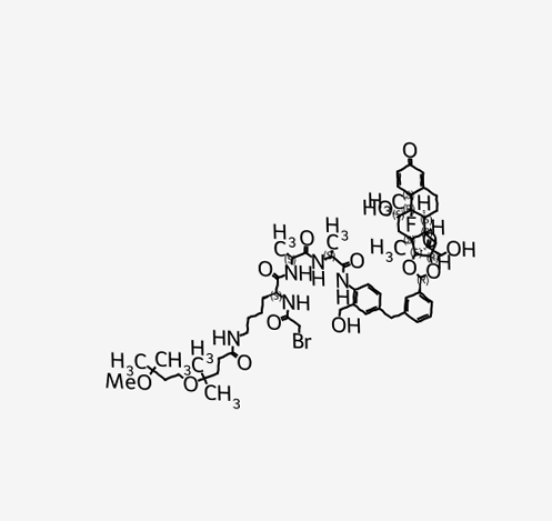 COC(C)(C)CCOC(C)(C)CCC(=O)NCCCC[C@H](NC(=O)CBr)C(=O)N[C@@H](C)C(=O)N[C@@H](C)C(=O)Nc1ccc(Cc2cccc([C@@H]3O[C@@H]4C[C@H]5[C@@H]6CCC7=CC(=O)C=C[C@]7(C)[C@@]6(F)[C@@H](O)C[C@]5(C)[C@]4(C(=O)CO)O3)c2)cc1CO